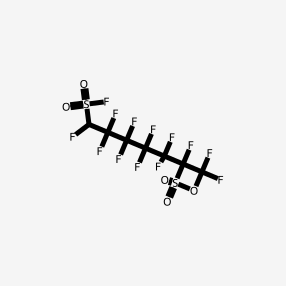 O=S(=O)(F)C(F)C(F)(F)C(F)(F)C(F)(F)C(F)(F)C1(F)C(F)(F)OS1(=O)=O